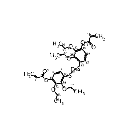 C=CC(=O)Oc1ccc(SOSc2ccc(OC(=O)C=C)c(OCC)c2OCC)c(OCC)c1OCC